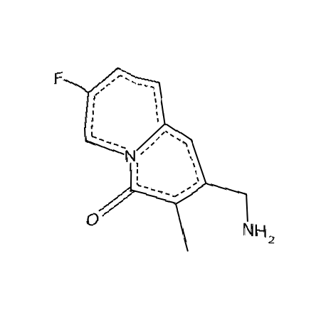 Cc1c(CN)cc2ccc(F)cn2c1=O